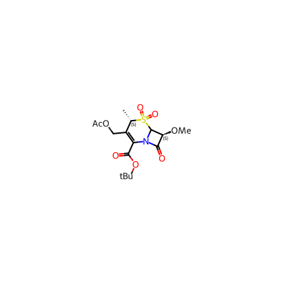 CO[C@H]1C(=O)N2C(C(=O)OC(C)(C)C)=C(COC(C)=O)[C@H](C)S(=O)(=O)C12